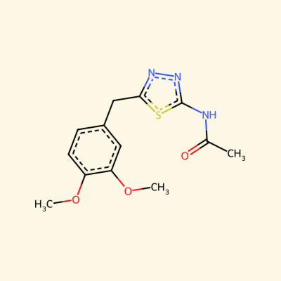 COc1ccc(Cc2nnc(NC(C)=O)s2)cc1OC